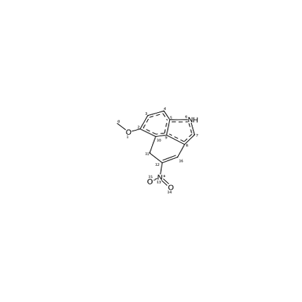 COc1ccc2[nH]cc3c2c1CC([N+](=O)[O-])=C3